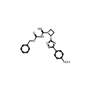 CCCCCCCCc1ccc(-c2noc([C@@H]3CCN3C(=N)NC(=O)OCc3ccccc3)n2)cc1